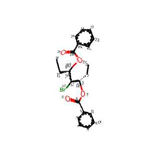 CC[C@H](OC(=O)c1ccccc1)C(Br)[C@@H](CC)OC(=O)c1ccccc1